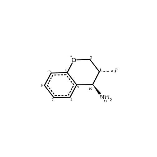 C[C@H]1COc2ccccc2[C@@H]1N